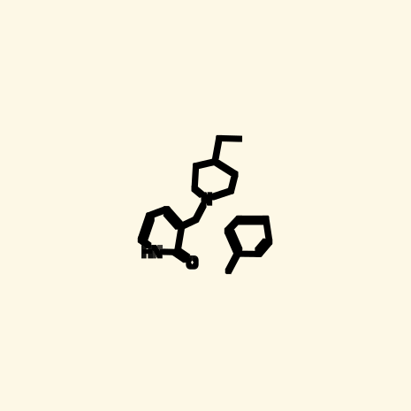 CCC1CCN(Cc2ccc[nH]c2=O)CC1.Cc1ccccc1